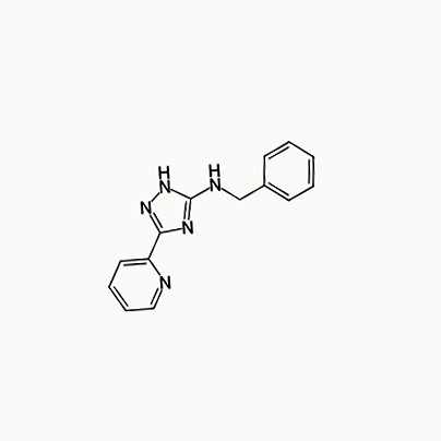 c1ccc(CNc2nc(-c3ccccn3)n[nH]2)cc1